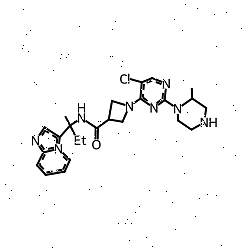 CCC(C)(NC(=O)C1CN(c2nc(N3CCNCC3C)ncc2Cl)C1)c1cnc2ccccn12